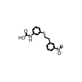 O=C(O)Nc1cccc(SCCc2cccc([N+](=O)[O-])c2)c1